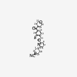 N#CB1CCC(c2cccc(OCc3ccc(C(=O)C4CCOCC4)cc3F)n2)CC1